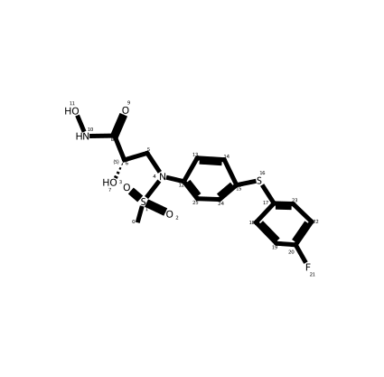 CS(=O)(=O)N(C[C@H](O)C(=O)NO)c1ccc(Sc2ccc(F)cc2)cc1